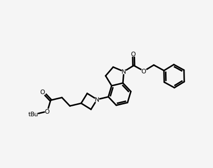 CC(C)(C)OC(=O)CCC1CN(c2cccc3c2CCN3C(=O)OCc2ccccc2)C1